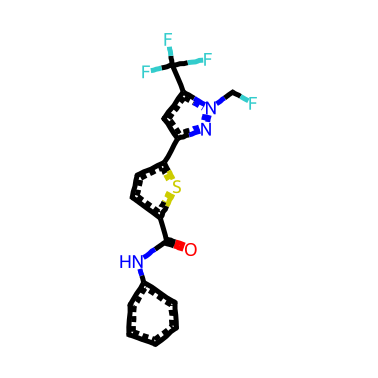 O=C(Nc1ccccc1)c1ccc(-c2cc(C(F)(F)F)n(CF)n2)s1